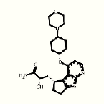 NC(=O)[C@@H](O)C[C@H]1CCc2sc3nccc(O[C@H]4CC[C@H](N5CCOCC5)CC4)c3c21